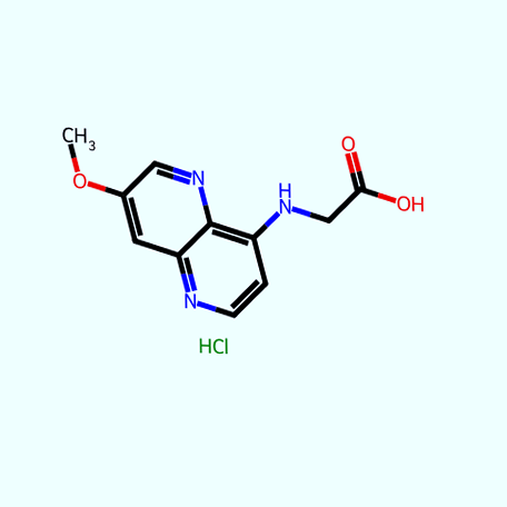 COc1cnc2c(NCC(=O)O)ccnc2c1.Cl